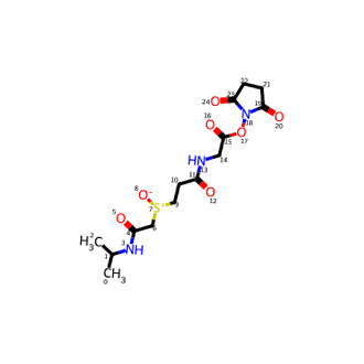 CC(C)NC(=O)C[S+]([O-])CCC(=O)NCC(=O)ON1C(=O)CCC1=O